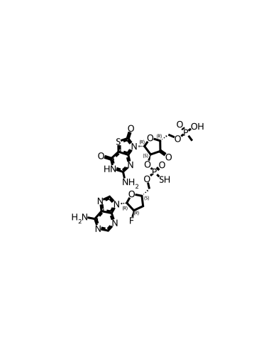 CP(=O)(O)OC[C@H]1O[C@@H](n2c(=O)sc3c(=O)[nH]c(N)nc32)[C@H](OP(=O)(S)OC[C@@H]2C[C@@H](F)[C@H](n3cnc4c(N)ncnc43)O2)C1=O